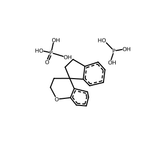 O=P(O)(O)O.OP(O)O.c1ccc2c(c1)CCC21CCOc2ccccc21